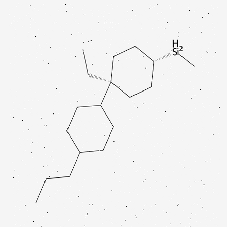 CCCC1CCC([C@]2(CC)CC[C@@H]([SiH2]C)CC2)CC1